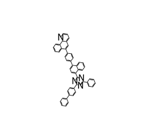 c1ccc(-c2ccc(-c3nc(-c4ccccc4)nc(-c4ccc(-c5ccc(-c6cc7cccnc7c7ccccc67)cc5)c5ccccc45)n3)cc2)cc1